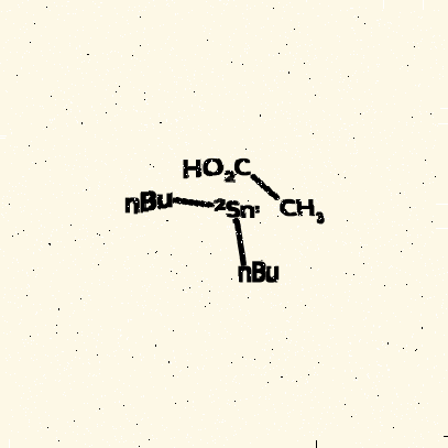 CC(=O)O.CCC[CH2][2Sn][CH2]CCC